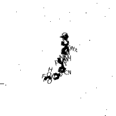 COc1nc(Nc2ncc(F)c(-c3ccc(OC4CCN(C(=O)[C@H](O)C(F)F)CC4)c(C#N)c3)n2)ccc1C1CCN(C2COC2)CC1